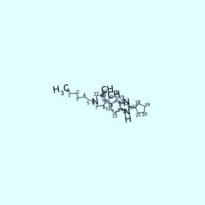 CCCCCCN1CC[C@](C)(c2ccc3[nH]c(C4CCCC4)nc3c2)[C@@H](C)C1